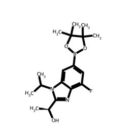 CC(C)n1c([C@H](C)O)nc2c(F)cc(B3OC(C)(C)C(C)(C)O3)cc21